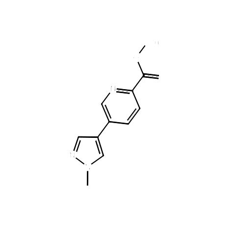 Cn1cc(-c2ccc(C(=O)OC(C)(C)C)nc2)cn1